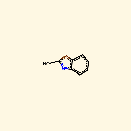 N#Cc1nc2[c]cccc2s1